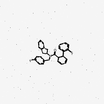 O=C(C1C=CC=CC1c1ccccc1F)N(Cc1ccc(F)cc1)C1Cc2ccccc2C1